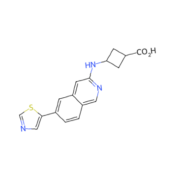 O=C(O)C1CC(Nc2cc3cc(-c4cncs4)ccc3cn2)C1